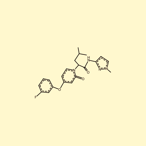 CC(C)CC(C(=O)Nc1ccn(C)n1)n1ccc(Oc2cccc(F)c2)cc1=O